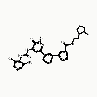 CCC(C)c1cncc(Cl)c1NC(=O)Nc1cc(-c2cccc(-c3cccc(C(=O)NCCC4CCCN4C)c3)c2)nn(CC)c1=O